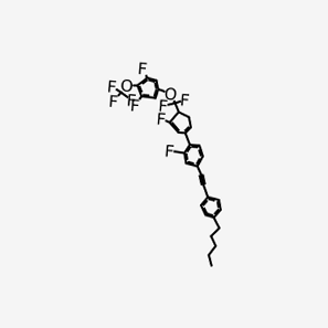 CCCCCc1ccc(C#Cc2ccc(C3=CCC(C(F)(F)Oc4cc(F)c(OC(F)(F)F)c(F)c4)C(F)=C3)c(F)c2)cc1